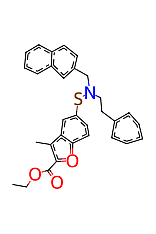 CCOC(=O)c1oc2ccc(SN(CCc3ccccc3)Cc3ccc4ccccc4c3)cc2c1C